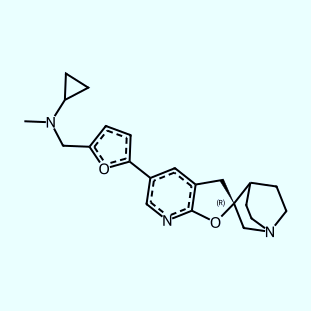 CN(Cc1ccc(-c2cnc3c(c2)C[C@@]2(CN4CCC2CC4)O3)o1)C1CC1